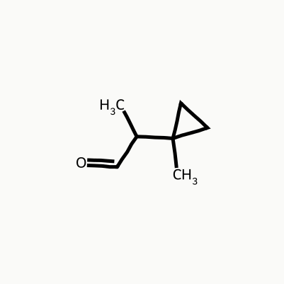 CC(C=O)C1(C)CC1